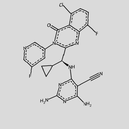 N#Cc1c(N)nc(N)nc1N[C@H](c1nc2c(F)ccc(Cl)c2c(=O)n1-c1cncc(F)c1)C1CC1